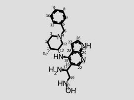 C[C@@H]1CCN(Cc2ccccc2)C[C@@H]1Nc1c(C(N)CNO)cnc2[nH]ccc12